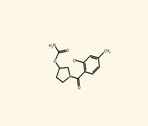 Cc1ccc(C(=O)N2CCC(OC(N)=O)C2)c(Cl)c1